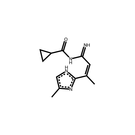 C/C(=C/C(=N)NC(=O)C1CC1)c1nc(C)c[nH]1